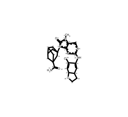 Cn1c(=O)n(C23CC4CC(C(N)=O)(CC4C2)C3)c2nc(NC3=CC4CCOC4C=C3Cl)ncc21